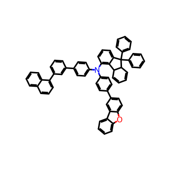 C1=CC2c3c(N(c4ccc(-c5cccc(-c6cccc7ccccc67)c5)cc4)c4ccc(-c5ccc6oc7ccccc7c6c5)cc4)cccc3C(c3ccccc3)(c3ccccc3)C2C=C1